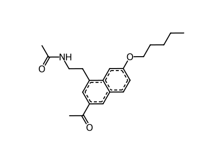 CCCCCOc1ccc2cc(C(C)=O)cc(CCNC(C)=O)c2c1